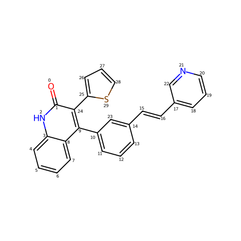 O=c1[nH]c2ccccc2c(-c2cccc(/C=C/c3cccnc3)c2)c1-c1cccs1